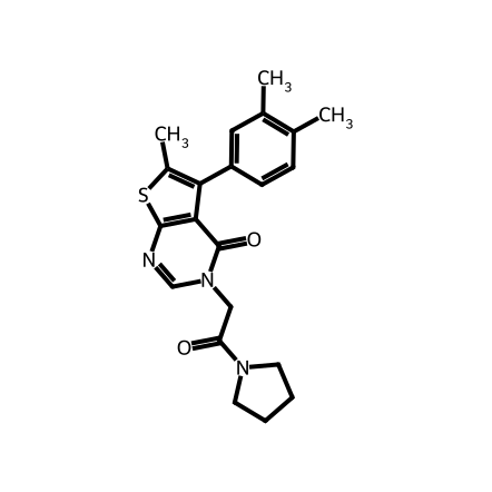 Cc1ccc(-c2c(C)sc3ncn(CC(=O)N4CCCC4)c(=O)c23)cc1C